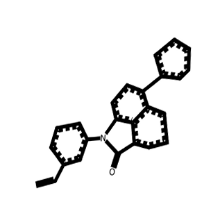 C=Cc1cccc(N2C(=O)c3cccc4c(-c5ccccc5)ccc2c34)c1